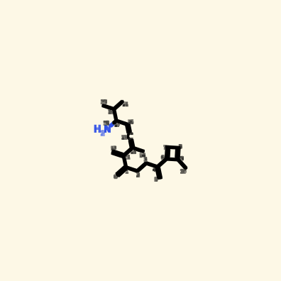 C=C(CCC(=C)C1=CC=C1C)C(=C)C(C)=C=CC(N)C(C)C